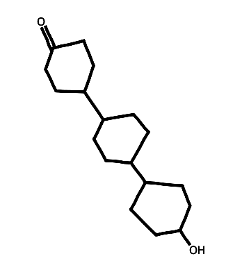 O=C1CCC(C2CCC(C3CCC(O)CC3)CC2)CC1